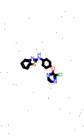 Clc1nccnc1OC1CCC(Nc2nc3ccccc3s2)CC1